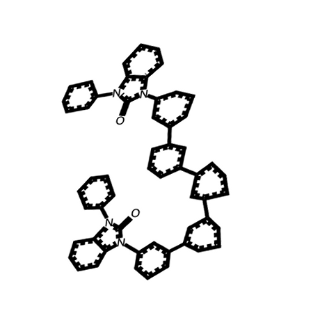 O=c1n(-c2ccccc2)c2ccccc2n1-c1cccc(-c2cccc(-c3cccc(-c4cccc(-c5cccc(-n6c(=O)n(-c7ccccc7)c7ccccc76)c5)c4)c3)c2)c1